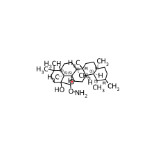 C[C@@H]1[C@H]2[C@H]3CC[C@@H]4[C@]5(C)[C@@H](CC[C@@]4(C)[C@]3(C)CC[C@@]2(C)CC[C@H]1C)C(C)(C)CCC5(O)C(=O)ON